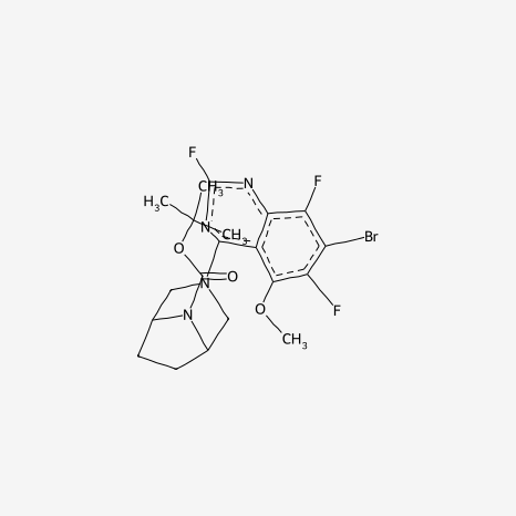 COc1c(F)c(Br)c(F)c2nc(F)nc(N3CC4CCC(C3)N4C(=O)OC(C)(C)C)c12